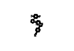 N#Cc1ccc(-c2cnc3ccc(N4CCC[C@@H]4c4cc(F)ccc4F)nn23)cc1